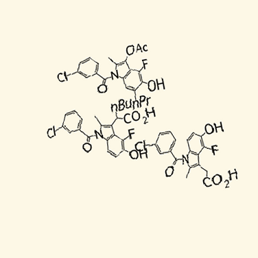 CCCCC(C(=O)O)c1c(C)n(C(=O)c2cccc(Cl)c2)c2ccc(O)c(F)c12.CCCc1cc2c(c(F)c1O)c(OC(C)=O)c(C)n2C(=O)c1cccc(Cl)c1.Cc1c(CC(=O)O)c2c(F)c(O)ccc2n1C(=O)c1cccc(Cl)c1